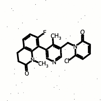 Cc1c(Cn2c(Cl)cccc2=O)cncc1-c1c(F)ccc2c1N(C)C(=O)CC2